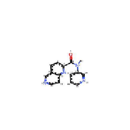 CN(C(=O)c1ccc2cnccc2n1)c1cccnc1